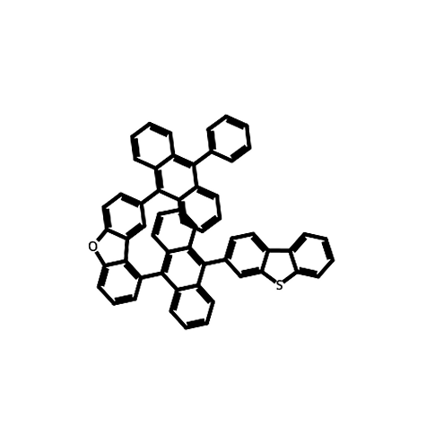 c1ccc(-c2c3ccccc3c(-c3ccc4oc5cccc(-c6c7ccccc7c(-c7ccc8c(c7)sc7ccccc78)c7ccccc67)c5c4c3)c3ccccc23)cc1